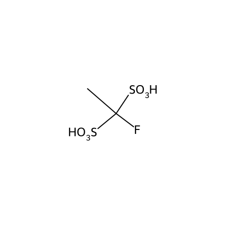 CC(F)(S(=O)(=O)O)S(=O)(=O)O